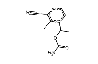 Cc1c(C#N)cccc1C(C)OC(N)=O